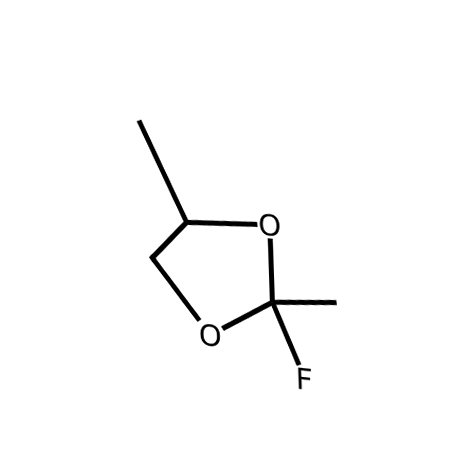 CC1COC(C)(F)O1